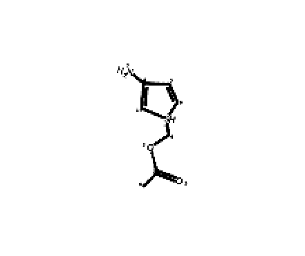 CC(=O)OC[SH]1C=CC(N)=C1